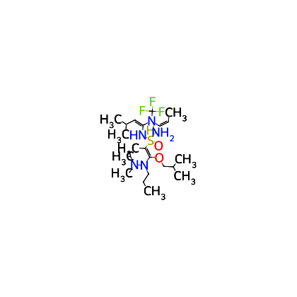 C/C=C\N(/C(=C/C(C)C)N[SH](N)(=O)/C(C)=C(\OCC(C)C)N(CCC)N(C)C)C(F)(F)F